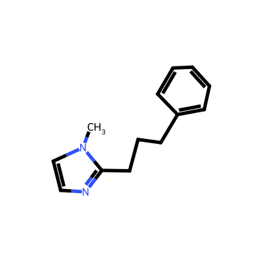 Cn1ccnc1CCCc1ccccc1